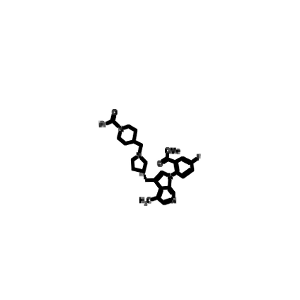 COC(=O)c1cc(F)ccc1-n1cc(C[C@@H]2CCN(CC3CCN(C(=O)C(C)C)CC3)C2)c2c(C)cncc21